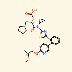 CO[C@@H](C)COc1ccc(-c2ccccc2-c2csc(N(C(=O)[C@@H](CC(=O)O)CC3CCCC3)C3CC3)n2)cn1